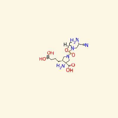 CN(CC(N)C#N)S(=O)(=O)N1C[C@H](CCCB(O)O)[C@](N)(C(=O)O)C1